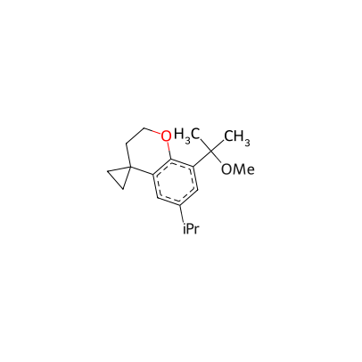 COC(C)(C)c1cc(C(C)C)cc2c1OCCC21CC1